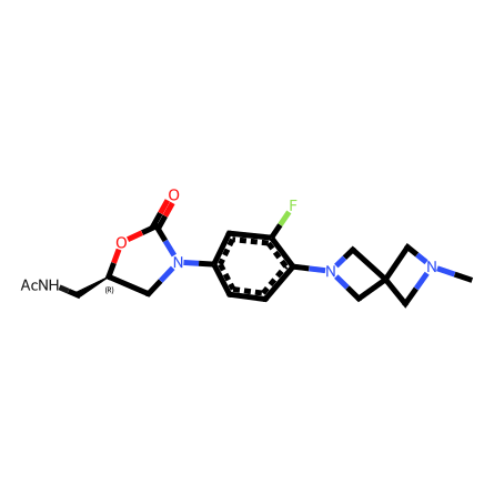 CC(=O)NC[C@@H]1CN(c2ccc(N3CC4(CN(C)C4)C3)c(F)c2)C(=O)O1